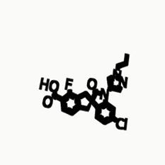 CCCn1cc(N2C(=O)[C@]3(Cc4ccc(C(=O)O)c(F)c4C3)c3ccc(Cl)cc32)cn1